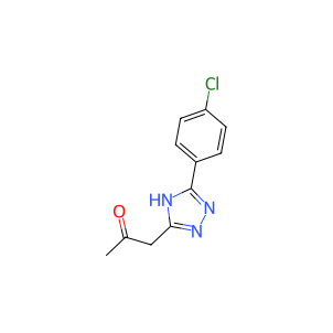 CC(=O)Cc1nnc(-c2ccc(Cl)cc2)[nH]1